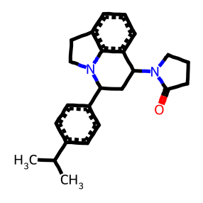 CC(C)c1ccc(C2CC(N3CCCC3=O)c3cccc4c3N2CC4)cc1